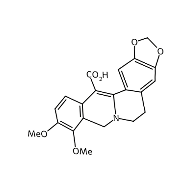 COc1ccc2c(c1OC)CN1CCc3cc4c(cc3C1=C2C(=O)O)OCO4